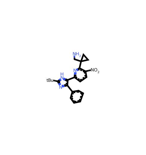 CC(C)(C)c1nc(-c2ccccc2)c(-c2ccc([N+](=O)[O-])c(C3(CN)CC3)n2)[nH]1